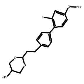 CCCOc1ccc(-c2ccc(CCC3OCC(CCC)CO3)cc2)c(F)c1